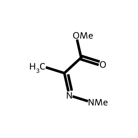 CNN=C(C)C(=O)OC